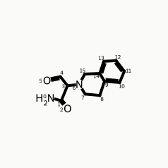 NC(=O)C(C=O)N1CCc2ccccc2C1